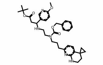 COc1ccc(C(CC(=O)OC(C)(C)C)NCCN(CCCc2ccc3c(n2)NCCC32CC2)C(=O)OCc2ccccc2)cn1